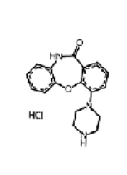 Cl.O=C1Nc2ccccc2Oc2c1cccc2N1CCNCC1